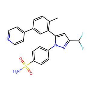 Cc1ccc(-c2ccncc2)cc1-c1cc(C(F)F)nn1-c1ccc(S(N)(=O)=O)cc1